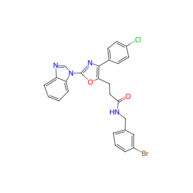 O=C(CCc1oc(-n2cnc3ccccc32)nc1-c1ccc(Cl)cc1)NCc1cccc(Br)c1